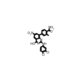 Cc1cc(-c2cc([N+](=O)[O-])cc3c(O)nc(Nc4ccc(Cl)c(Cl)c4)nc23)ccc1C(N)=O